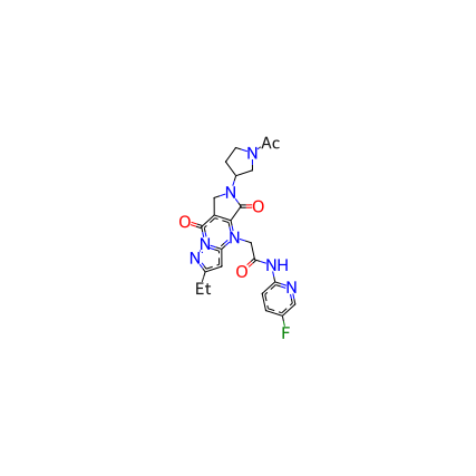 CCc1cc2n(CC(=O)Nc3ccc(F)cn3)c3c(c(=O)n2n1)CN(C1CCN(C(C)=O)C1)C3=O